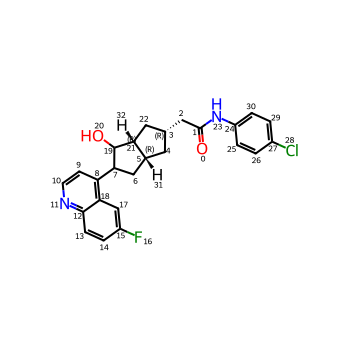 O=C(C[C@@H]1C[C@@H]2CC(c3ccnc4ccc(F)cc34)C(O)[C@@H]2C1)Nc1ccc(Cl)cc1